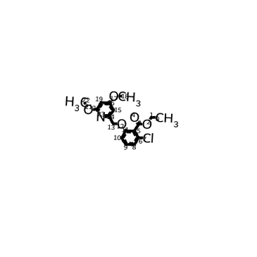 CCOC(=O)c1c(Cl)cccc1OCc1cc(OC)cc(OC)n1